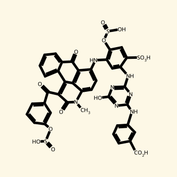 Cn1c(=O)c(C(=O)c2cccc(OS(=O)O)c2)c2c3c(c(Nc4cc(Nc5nc(O)nc(Nc6cccc(C(=O)O)c6)n5)c(S(=O)(=O)O)cc4OS(=O)O)ccc31)C(=O)c1ccccc1-2